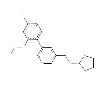 FCOc1cc(F)ccc1-c1cncc(CNC2CCCC2)c1